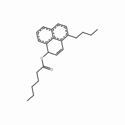 CCCCCC(=O)OC1C=Cc2c(CCCC)ccc3cccc1c23